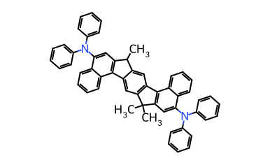 CC1c2cc3c(cc2-c2c1cc(N(c1ccccc1)c1ccccc1)c1ccccc21)C(C)(C)c1cc(N(c2ccccc2)c2ccccc2)c2ccccc2c1-3